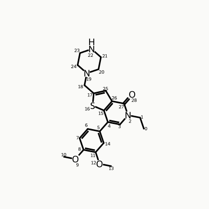 CCn1cc(-c2ccc(OC)c(OC)c2)c2sc(CN3CCNCC3)cc2c1=O